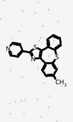 Cc1ccc2c(c1)Sc1ccccc1-c1sc(-c3ccncc3)nc1-2